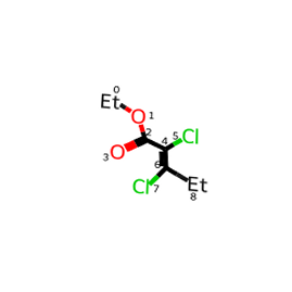 CCOC(=O)C(Cl)=C(Cl)CC